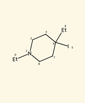 CCN1CCC(I)(CC)CC1